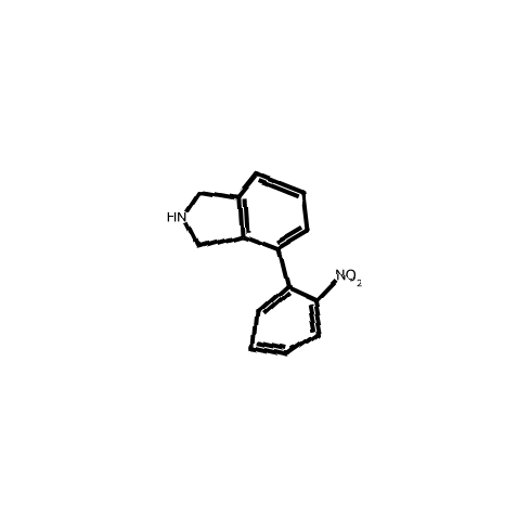 O=[N+]([O-])c1ccccc1-c1cccc2c1CNC2